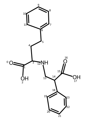 O=C(O)C(CCc1ccccc1)NCC(C(=O)O)c1ccccc1